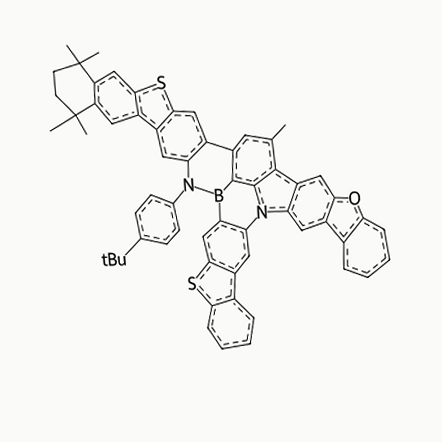 Cc1cc2c3c4c1c1cc5oc6ccccc6c5cc1n4-c1cc4c(cc1B3N(c1ccc(C(C)(C)C)cc1)c1cc3c(cc1-2)sc1cc2c(cc13)C(C)(C)CCC2(C)C)sc1ccccc14